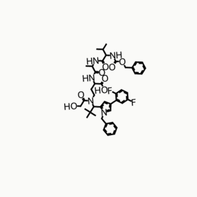 CC(NC(=O)C(NC(=O)OCc1ccccc1)C(C)C)C(=O)NC(CCN(C(=O)CO)C(c1cc(-c2cc(F)ccc2F)cn1Cc1ccccc1)C(C)(C)C)C(=O)O